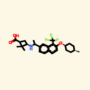 CC(N[C@@H]1CC(C(=O)O)C1(C)C)c1ccc2ccc(O[C@H]3CC[C@@H](C)CC3)c(C(F)(F)F)c2c1